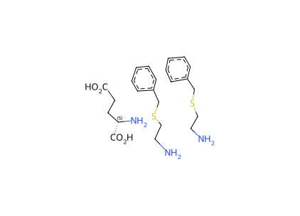 NCCSCc1ccccc1.NCCSCc1ccccc1.N[C@@H](CCC(=O)O)C(=O)O